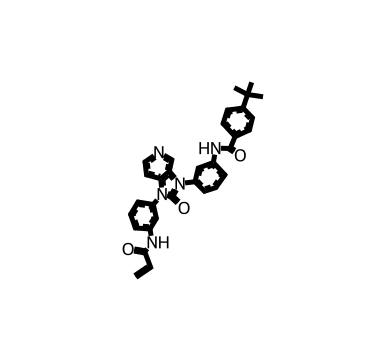 C=CC(=O)Nc1cccc(-n2c(=O)n(-c3cccc(NC(=O)c4ccc(C(C)(C)C)cc4)c3)c3cnccc32)c1